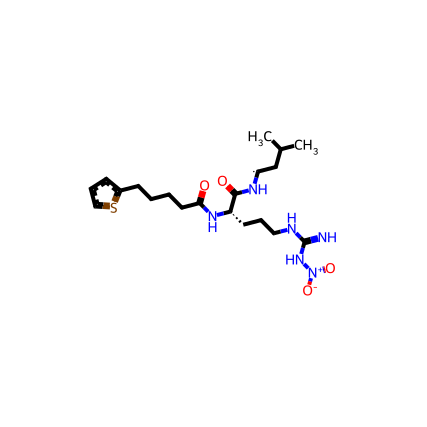 CC(C)C[CH]NC(=O)[C@H](CCCNC(=N)N[N+](=O)[O-])NC(=O)CCCCc1cccs1